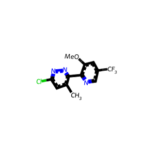 COc1cc(C(F)(F)F)cnc1-c1nnc(Cl)cc1C